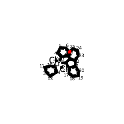 [Cl][Zr]([Cl])([c]1ccccc1)([c]1ccccc1)[CH]1c2ccccc2-c2ccccc21